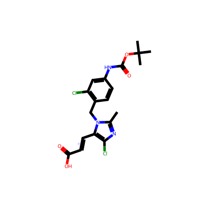 Cc1nc(Cl)c(/C=C/C(=O)O)n1Cc1ccc(NC(=O)OC(C)(C)C)cc1Cl